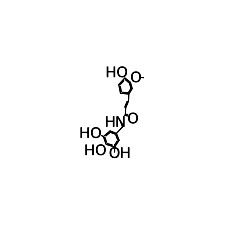 COc1cc(C=CC(=O)NCc2cc(O)c(O)c(O)c2)ccc1O